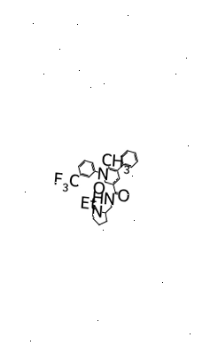 CCN1CCCC1CNC(=O)c1cc(-c2ccccc2)c(C)n(-c2cccc(C(F)(F)F)c2)c1=O